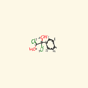 OC(Cl)C(O)(Cl)c1ccccc1